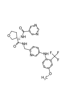 COc1ccc(Nc2ccc(CNC(=O)[C@]3(NC(=O)c4cncnc4)CCOC3)nc2)c(C(F)(F)F)c1